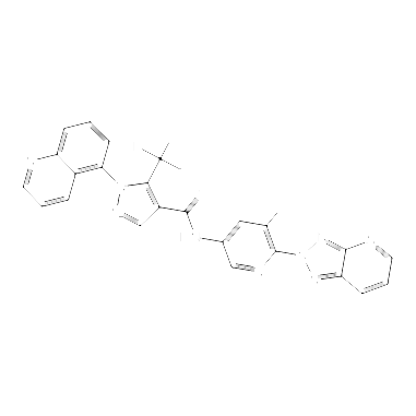 O=C(Nc1cnc(-n2nc3cccnc3n2)c(Cl)c1)c1cnn(-c2cccc3ncccc23)c1C(F)(F)F